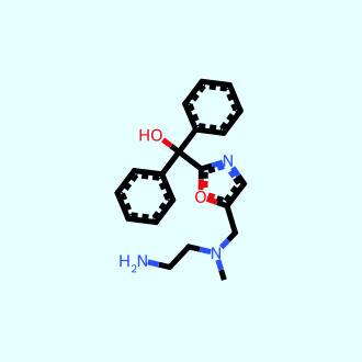 CN(CCN)Cc1cnc(C(O)(c2ccccc2)c2ccccc2)o1